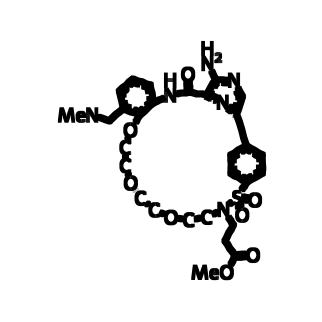 CNCc1cccc2c1OCCOCCOCCN(CCC(=O)OC)S(=O)(=O)c1ccc(cc1)-c1cnc(N)c(n1)C(=O)N2